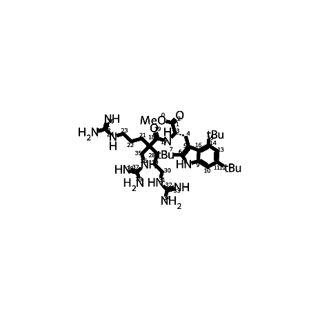 COC(=O)[C@H](Cc1c(C(C)(C)C)[nH]c2cc(C(C)(C)C)cc(C(C)(C)C)c12)NC(=O)C(CCCNC(=N)N)(CCCNC(=N)N)CNC(=N)N